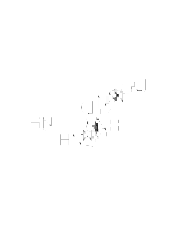 CC1(C)CC(CCCNc2cccc(S(=O)(=O)NC(=O)c3ccc(-n4ccc(OCC5(C(F)(F)F)CC5)n4)nc3Cl)n2)CN1